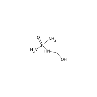 NP(N)(=O)NCO